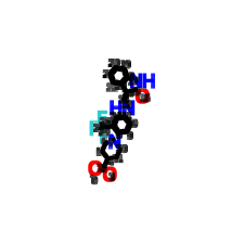 COC(=O)C1CCN(c2ccc(NC=C3C(=O)Nc4ccccc43)cc2C(F)(F)F)CC1